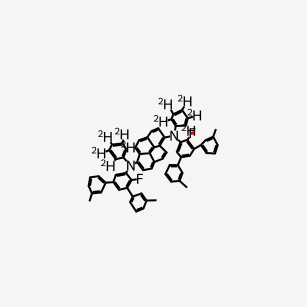 [2H]c1c([2H])c([2H])c(N(c2cc(-c3cccc(C)c3)cc(-c3cccc(C)c3)c2F)c2ccc3ccc4c(N(c5cc(-c6cccc(C)c6)cc(-c6cccc(C)c6)c5F)c5c([2H])c([2H])c([2H])c([2H])c5[2H])ccc5ccc2c3c54)c([2H])c1[2H]